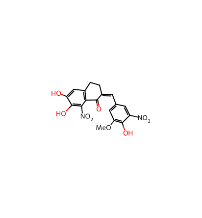 COc1cc(/C=C2/CCc3cc(O)c(O)c([N+](=O)[O-])c3C2=O)cc([N+](=O)[O-])c1O